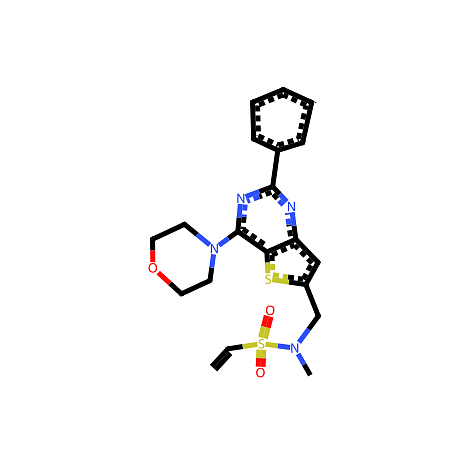 C=CS(=O)(=O)N(C)Cc1cc2nc(-c3c[c]ccc3)nc(N3CCOCC3)c2s1